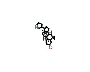 C[C@]12C=CC(=O)C=C1C1(CC1)C[C@@H]1[C@@H]2CC[C@]2(C)C(c3cccnc3)=CC[C@@H]12